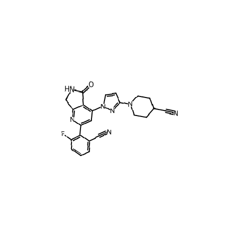 N#Cc1cccc(F)c1-c1cc(-n2ccc(N3CCC(C#N)CC3)n2)c2c(n1)CNC2=O